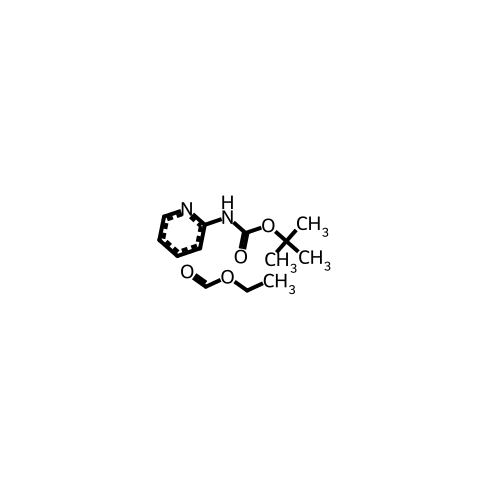 CC(C)(C)OC(=O)Nc1ccccn1.CCOC=O